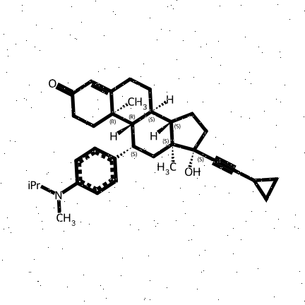 CC(C)N(C)c1ccc([C@H]2C[C@@]3(C)[C@@H](CC[C@@]3(O)C#CC3CC3)[C@@H]3CCC4=CC(=O)CC[C@]4(C)[C@H]32)cc1